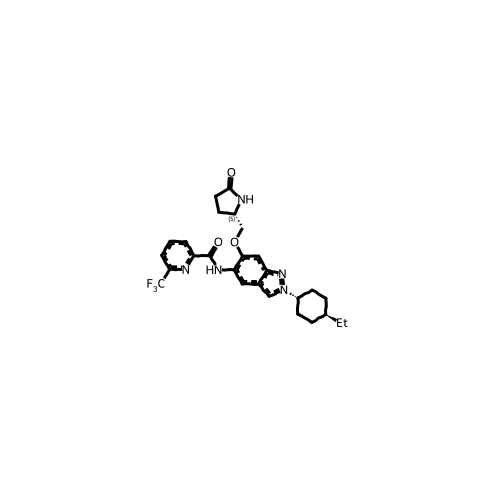 CC[C@H]1CC[C@H](n2cc3cc(NC(=O)c4cccc(C(F)(F)F)n4)c(OC[C@@H]4CCC(=O)N4)cc3n2)CC1